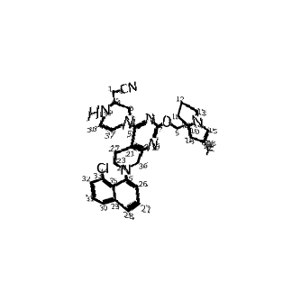 N#CC[C@H]1CN(c2nc(OC[C@@]34CCCN3C[C@H](F)C4)nc3c2CCN(c2cccc4cccc(Cl)c24)C3)CCN1